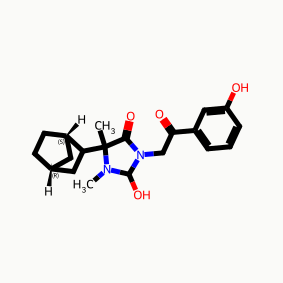 CN1C(O)N(CC(=O)c2cccc(O)c2)C(=O)C1(C)C1C[C@@H]2CC[C@H]1C2